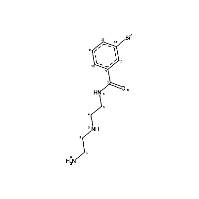 NCCNCCNC(=O)c1cccc(Br)c1